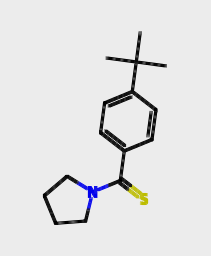 CC(C)(C)c1ccc(C(=S)N2CCCC2)cc1